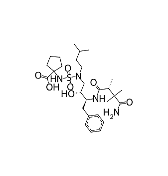 CC(C)CCN(C[C@@H](O)[C@H](Cc1ccccc1)NC(=O)[C@H](C)C(C)(C)C(N)=O)S(=O)(=O)NC1(C(=O)O)CCCC1